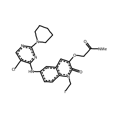 CNC(=O)COc1cc2cc(Nc3nc(N4CCCCC4)ncc3Cl)ccc2n(CI)c1=O